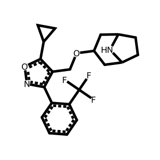 FC(F)(F)c1ccccc1-c1noc(C2CC2)c1COC1CC2CCC(C1)N2